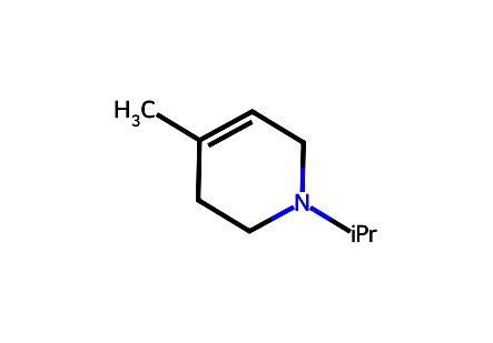 CC1=CCN(C(C)C)CC1